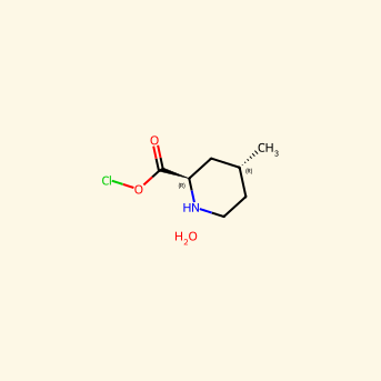 C[C@@H]1CCN[C@@H](C(=O)OCl)C1.O